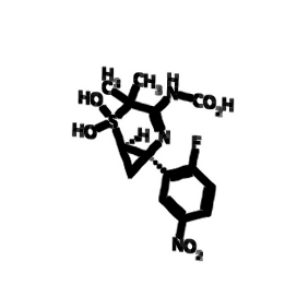 CC1(C)C(NC(=O)O)=N[C@@]2(c3cc([N+](=O)[O-])ccc3F)C[C@H]2S1(O)O